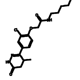 CCCCCCNC(=O)COc1ccc(C2=NNC(=O)CC2C)cc1Cl